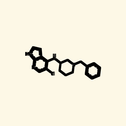 Clc1cnc2[nH]ccc2c1NC1CCCN(Cc2ccccc2)C1